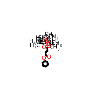 CCC(OC(=O)C=CC(=O)Oc1ccccc1)[Si](O[Si](C)(C)C)(O[Si](C)(C)C)O[Si](C)(C)C